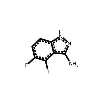 Nc1n[nH]c2ccc(F)c(I)c12